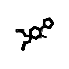 C[C@@H]1CC(CN=O)(CN=O)CC[C@H]1N1CCCC1